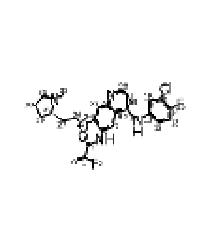 C=C(F)C(=O)Nc1cc2c(Nc3ccc(F)c(Cl)c3)ncnc2cc1OCC[C@H]1CCCN1C